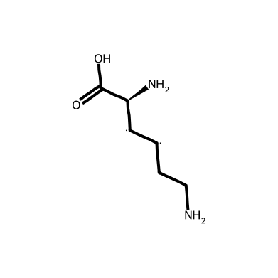 NCC[CH][CH][C@H](N)C(=O)O